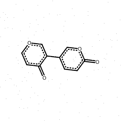 O=c1ccc(-c2coccc2=O)co1